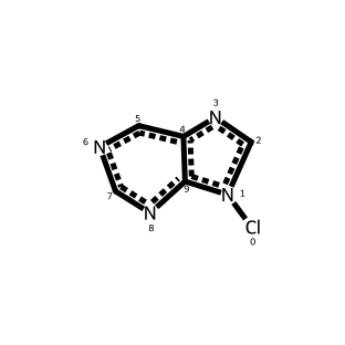 Cln1cnc2cncnc21